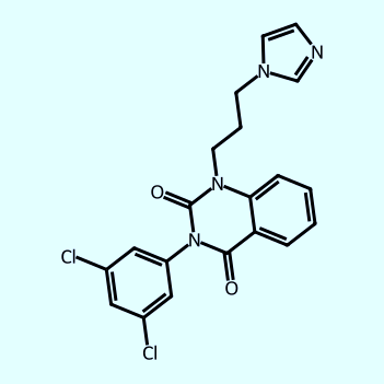 O=c1c2ccccc2n(CCCn2ccnc2)c(=O)n1-c1cc(Cl)cc(Cl)c1